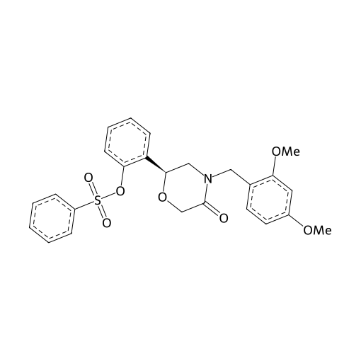 COc1ccc(CN2C[C@H](c3ccccc3OS(=O)(=O)c3ccccc3)OCC2=O)c(OC)c1